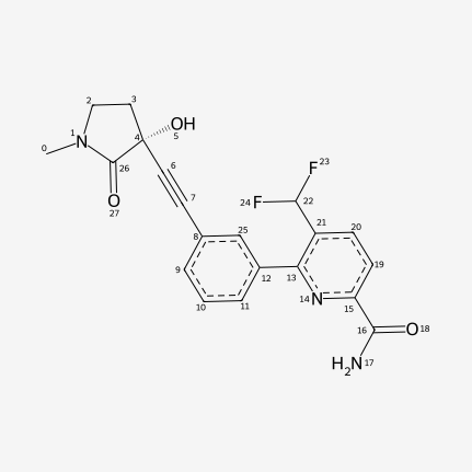 CN1CC[C@@](O)(C#Cc2cccc(-c3nc(C(N)=O)ccc3C(F)F)c2)C1=O